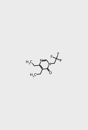 CCc1ncn(CC(F)(F)F)c(=O)c1CC